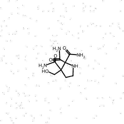 NC(=O)C1(CO)CCNC1(C(N)=O)C(N)=O